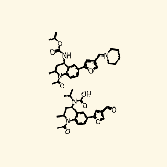 CC(=O)N1c2ccc(-c3cc(C=O)co3)cc2C(N(C(=O)O)C(C)C)CC1C.CC(=O)N1c2ccc(-c3cc(CN4CCCCC4)co3)cc2C(NC(=O)OC(C)C)CC1C